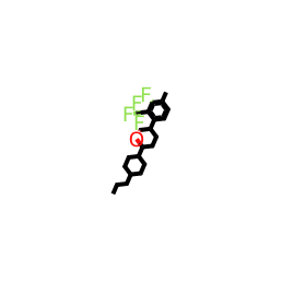 CCCC1CCC(C2CCC(c3ccc(C)c(F)c3C(F)(F)F)CO2)CC1